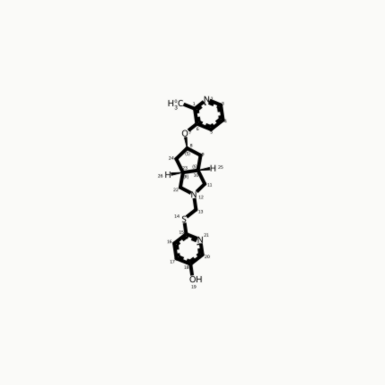 Cc1ncccc1O[C@H]1C[C@@H]2CN(CSc3ccc(O)cn3)C[C@@H]2C1